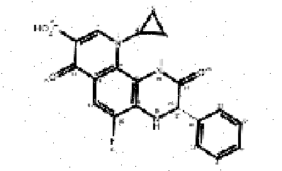 O=C(O)c1cn(C2CC2)c2c3c(c(F)cc2c1=O)N[C@@H](c1ccccc1)C(=O)N3